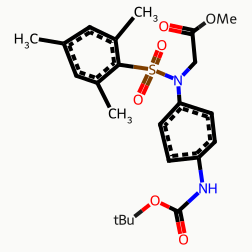 COC(=O)CN(c1ccc(NC(=O)OC(C)(C)C)cc1)S(=O)(=O)c1c(C)cc(C)cc1C